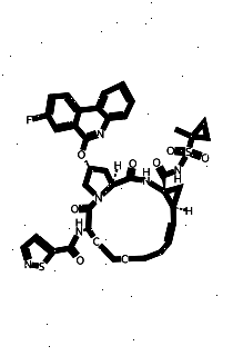 CC1(S(=O)(=O)NC(=O)[C@@]23C[C@H]2/C=C\CCCCC[C@H](NC(=O)c2ccns2)C(=O)N2C[C@H](Oc4nc5ccccc5c5ccc(F)cc45)C[C@H]2C(=O)N3)CC1